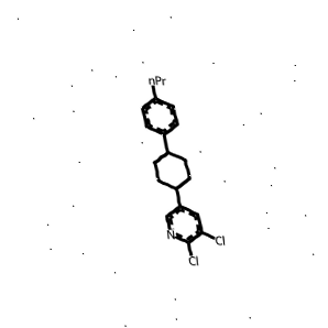 CCCc1ccc(C2CCC(c3cnc(Cl)c(Cl)c3)CC2)cc1